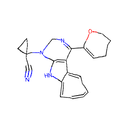 N#CC1(N2CN=C(C3=CCCCO3)c3c2[nH]c2ccccc32)CC1